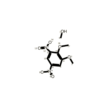 CO.COc1cc([N+](=O)[O-])cc([N+](=O)[O-])c1OC